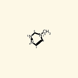 CN1C=CN=NC1